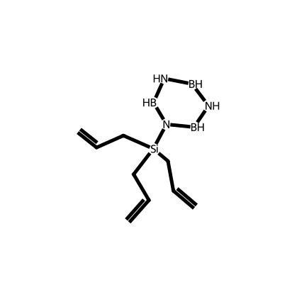 C=CC[Si](CC=C)(CC=C)N1BNBNB1